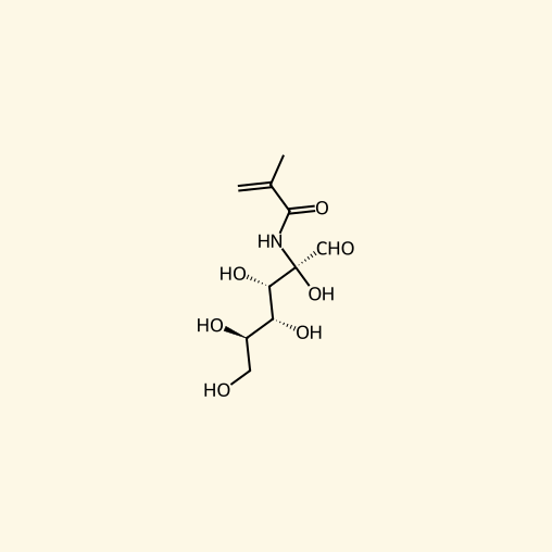 C=C(C)C(=O)N[C@](O)(C=O)[C@@H](O)[C@H](O)[C@H](O)CO